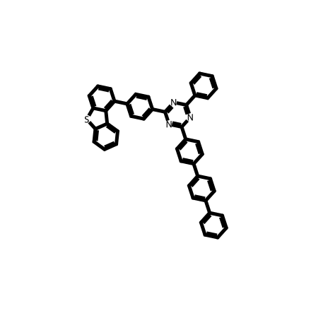 c1ccc(-c2ccc(-c3ccc(-c4nc(-c5ccccc5)nc(-c5ccc(-c6cccc7sc8ccccc8c67)cc5)n4)cc3)cc2)cc1